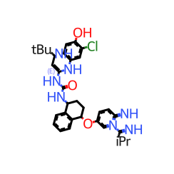 CC(C)C(=N)n1cc(OC2CCC(NC(=O)N/C(=C/C(=N)C(C)(C)C)Nc3ccc(O)c(Cl)c3)c3ccccc32)ccc1=N